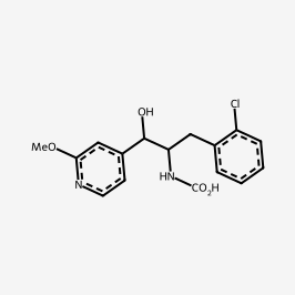 COc1cc(C(O)C(Cc2ccccc2Cl)NC(=O)O)ccn1